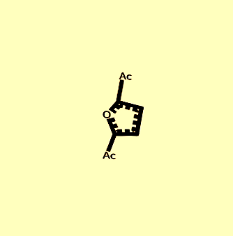 CC(=O)c1ccc(C(C)=O)o1